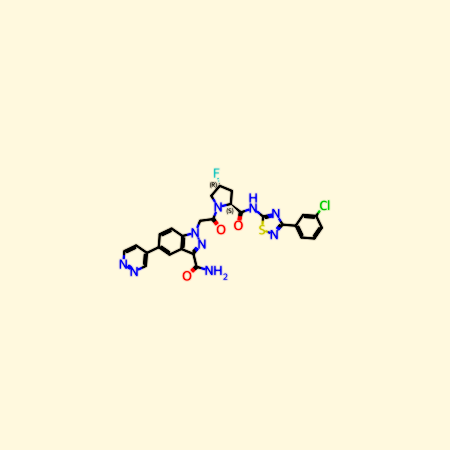 NC(=O)c1nn(CC(=O)N2C[C@H](F)C[C@H]2C(=O)Nc2nc(-c3cccc(Cl)c3)ns2)c2ccc(-c3ccnnc3)cc12